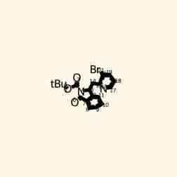 CC(C)(C)OC(=O)N1C(=O)c2ccccc2C1Cc1ncccc1Br